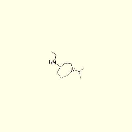 CCNC1CCCN(C(C)C)CC1